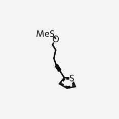 CSOCCCC#Cc1cccs1